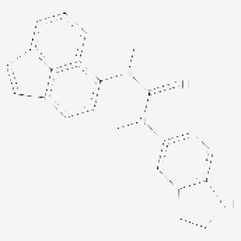 CN(C(=N)N(C)c1ccc2c3c(cccc13)C=C2)c1ccc2c(c1)CCN2